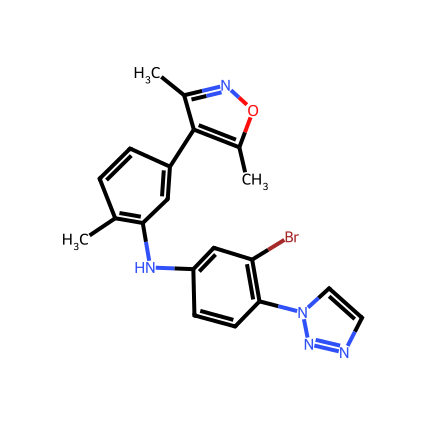 Cc1ccc(-c2c(C)noc2C)cc1Nc1ccc(-n2ccnn2)c(Br)c1